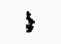 CCOC(=O)CCC(=O)c1cc2c(F)c(OCCC(O)c3c(OC)cc4c(c3Cl)CNC4)c(OC)cc2s1